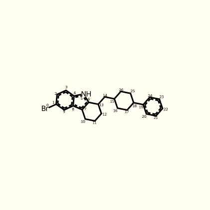 Brc1ccc2[nH]c3c(c2c1)CCCC3CC1CCC(c2ccccc2)CC1